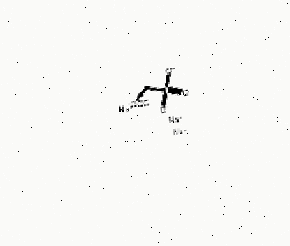 O=C([O-])CP(=O)([O-])[O-].[Na+].[Na+].[Na+]